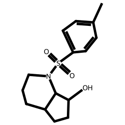 Cc1ccc(S(=O)(=O)N2CCCC3CCC(O)C32)cc1